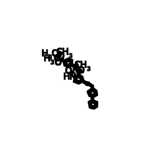 CC(c1ccc(C(=O)OC(C)(C)C)cc1)n1c(=O)[nH]c2ccc(C#CCc3ccc(-c4ccccc4)cc3)cc2c1=O